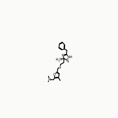 Cc1cc(CSCCC2(N)N=C(Cc3ccccc3)NN2C)oc1CN(C)C